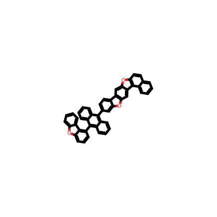 c1ccc2c(c1)ccc1oc3cc4c(cc3c12)oc1cc(-c2c3ccccc3c(-c3cccc5oc6ccccc6c35)c3ccccc23)ccc14